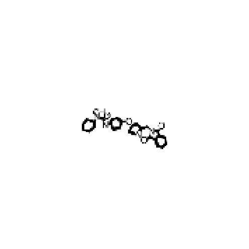 CN(c1nc2ccc(Oc3ccnc(CN4C(=O)c5ccccc5C4=O)c3)cc2o1)C1CCCCC1